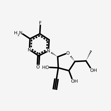 C#CC1(O)C(O)[C@@H]([C@H](C)O)O[C@H]1n1cc(F)c(N)nc1=O